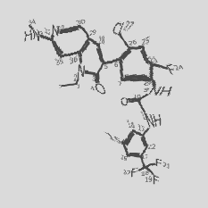 CCn1c(=O)c(-c2cc(NC(=O)Nc3cccc(C(F)(F)F)c3)c(F)cc2Cl)cc2cnc(NC)cc21